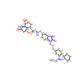 O=C(O)Nc1cc(CCCn2c(=O)[nH]c3cc(CNC[C@@H](O)c4ccc(O)c5[nH]c(=O)ccc45)ccc32)ccc1-c1ccccc1